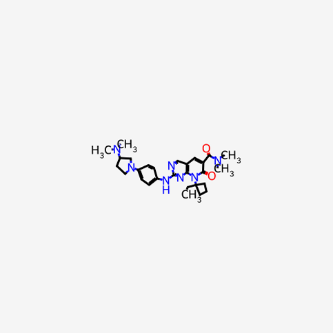 CCC1(n2c(=O)c(C(=O)N(C)C)cc3cnc(Nc4ccc(N5CCC(N(C)C)C5)cc4)nc32)CCC1